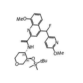 C=C(N[C@H]1CCOC[C@@H]1O[Si](C)(C)C(C)(C)C)c1cc(C(F)c2ccc(OC)nc2)c2cccc(OC)c2n1